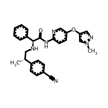 C[C@H](CN[C@H](C(=O)Nc1ccc(Oc2cnn(C)c2)cn1)c1ccccc1)c1ccc(C#N)cc1